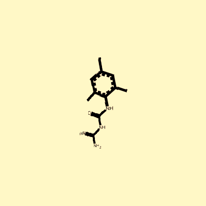 Cc1cc(C)c(NC(=O)NC(=N)N)c(C)c1